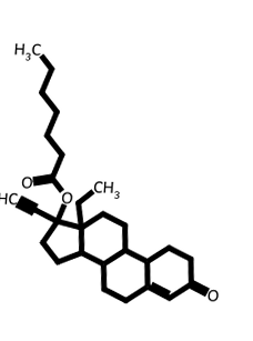 C#CC1(OC(=O)CCCCCC)CCC2C3CCC4=CC(=O)CCC4C3CCC21CC